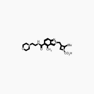 Cc1c(C(=O)NCCN2CCOCC2)ccc2nn(CC3CN(C(=O)O)C3C(C)(C)C)cc12